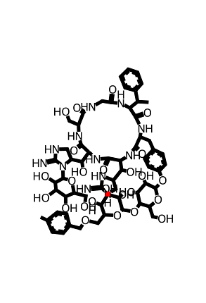 Cc1ccc(COCC2OC(OC3C(CO)OC(Oc4ccc(CC5NC(=O)C(C(C)c6ccccc6)NC(=O)CNC(=O)C(CO)NC(=O)C(C(O)C6CNC(=N)N6C6OC(CO)C(O)C(O)C6O)NC(=O)C(C(O)C6CNC(=N)N6)NC5=O)cc4)C(O)C3O)C(O)C(O)C2O)cc1